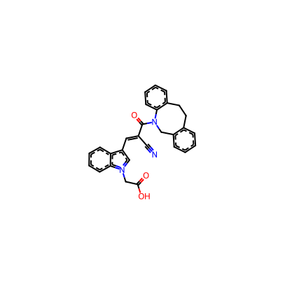 N#C/C(=C\c1cn(CC(=O)O)c2ccccc12)C(=O)N1Cc2ccccc2CCc2ccccc21